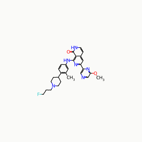 COc1cncc(-c2cc3cc[nH]c(=O)c3c(Nc3ccc(C4CCN(CCCF)CC4)c(C)c3)n2)n1